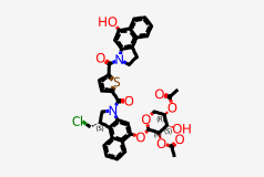 CC(=O)O[C@@H]1COC(Oc2cc3c(c4ccccc24)[C@H](CCl)CN3C(=O)c2ccc(C(=O)N3CCc4c3cc(O)c3ccccc43)s2)[C@H](OC(C)=O)[C@H]1O